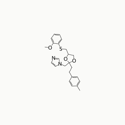 COc1ccccc1SCC1COC(CCc2ccc(C)cc2)(Cn2ccnc2)O1